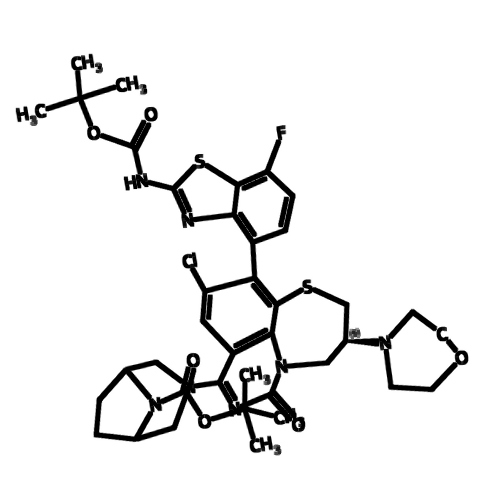 CC(C)(C)OC(=O)Nc1nc2c(-c3c(Cl)cc4c(N5CC6CCC(C5)N6C(=O)OC(C)(C)C)nc(=O)n5c4c3SC[C@@H](N3CCOCC3)C5)ccc(F)c2s1